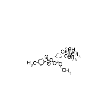 CCOC(=O)[C@@H]1CC(O[Si](C)(C)C(C)(C)C)C[C@H]1COS(=O)(=O)c1ccc(C)cc1